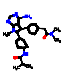 C=C(C)C(=O)Nc1ccc(-c2c(-c3ccc(CC(=O)N(C)C)cc3)c3c(N)ncnc3n2C)cc1